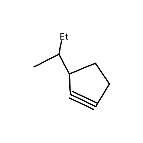 CCC(C)C1C#CCC1